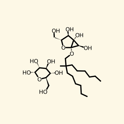 CCCCCCC(C)(CCCCCC)CO[C@]12O[C@H](CO)[C@@H](O)[C@@]1(O)[C@H]2O.OC[C@H]1O[C@H](O)[C@H](O)[C@@H](O)[C@@H]1O